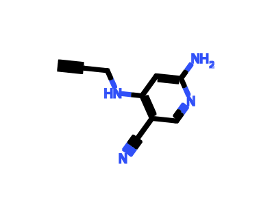 C#CCNc1cc(N)ncc1C#N